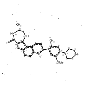 COc1cc(-c2ccc3c(ccc4sc5c(c43)NC[C@@H](C)NC5=O)n2)c(C)cc1N1CCNCC1